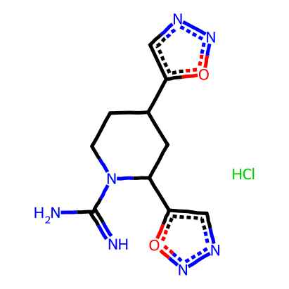 Cl.N=C(N)N1CCC(c2cnno2)CC1c1cnno1